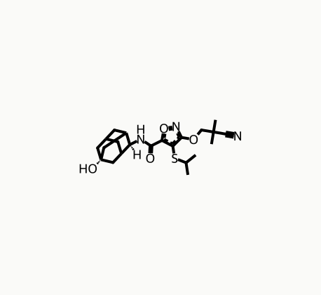 CC(C)Sc1c(OCC(C)(C)C#N)noc1C(=O)N[C@H]1C2CC3CC1C[C@](O)(C3)C2